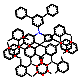 Cc1cccc(C)c1B(c1cc(B(c2c(C)cccc2C)c2c(C)cccc2C)c2c(c1)C1(c3cc(-c4ccccc4)ccc3N(c3cc(-c4ccccc4)cc(-c4ccccc4)c3)c3ccc(-c4ccccc4)cc31)c1cc(B(c3c(C)cccc3C)c3c(C)cccc3C)cc(B(c3c(C)cccc3C)c3c(C)cccc3C)c1C2=O)c1c(C)cccc1C